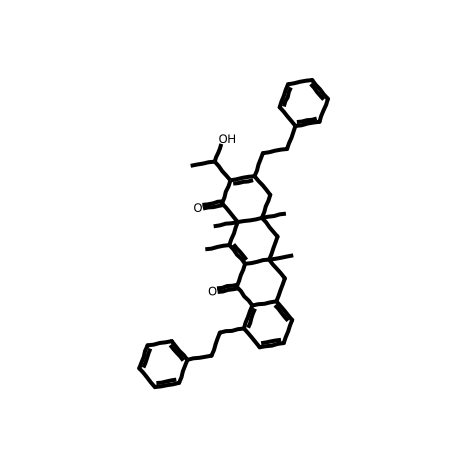 CC1=C2C(=O)c3c(CCc4ccccc4)cccc3CC2(C)CC2(C)CC(CCc3ccccc3)=C(C(C)O)C(=O)C12C